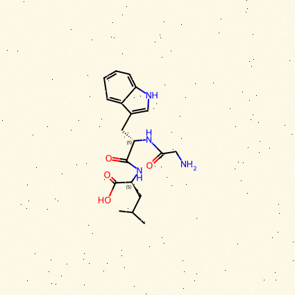 CC(C)C[C@H](NC(=O)[C@H](Cc1c[nH]c2ccccc12)NC(=O)CN)C(=O)O